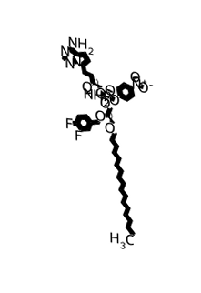 CCCCCCCCCCCCCCCCCCOC[C@H](COP(=O)(OC[C@H](CCc1ccc2c(N)ncnn12)ON)Oc1ccc([N+](=O)[O-])cc1)OCc1ccc(F)c(F)c1